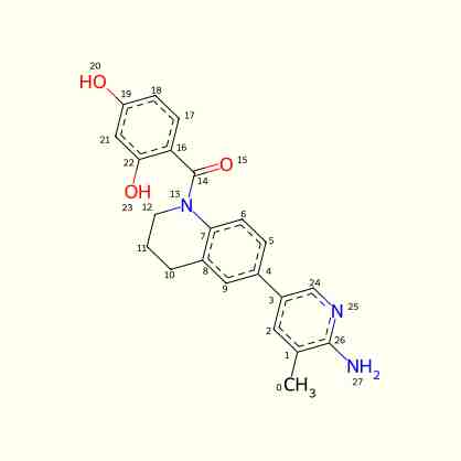 Cc1cc(-c2ccc3c(c2)CCCN3C(=O)c2ccc(O)cc2O)cnc1N